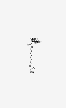 O=C(CO)OCCCCCCCCOC(=O)CO.[CH2]CCCCCC[CH2].[CH2]CCCCCC[CH2].[CH2]CCCCCC[CH2]